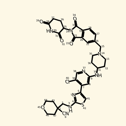 N#CC1(CNc2nc(-c3cc(NC4CCN(Cc5ccc6c(c5)C(=O)N(C5CCC(=O)NC5=O)C6=O)CC4)ncc3Cl)cs2)CCOCC1